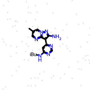 CCC(C)Nc1cc(-c2c(N)nn3cc(C)cnc23)ncn1